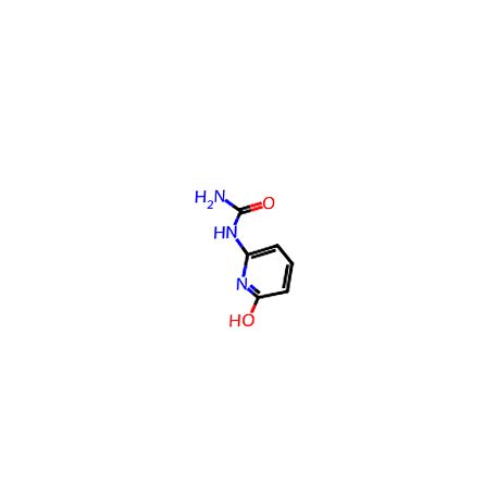 NC(=O)Nc1cccc(O)n1